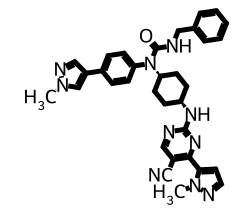 Cn1cc(-c2ccc(N(C(=O)NCc3ccccc3)[C@H]3CC[C@H](Nc4ncc(C#N)c(-c5ccnn5C)n4)CC3)cc2)cn1